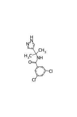 CC(C)(NC(=O)c1cc(Cl)cc(Cl)c1)c1cn[nH]c1